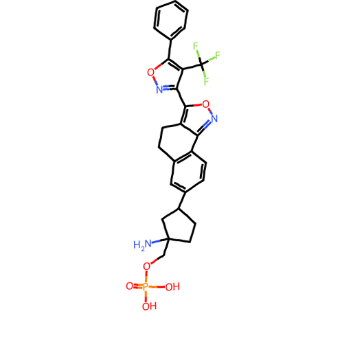 NC1(COP(=O)(O)O)CCC(c2ccc3c(c2)CCc2c-3noc2-c2noc(-c3ccccc3)c2C(F)(F)F)C1